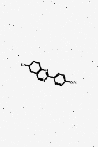 CCC1CCc2nc(-c3ccc(OC(C)=O)cc3)ncc2C1